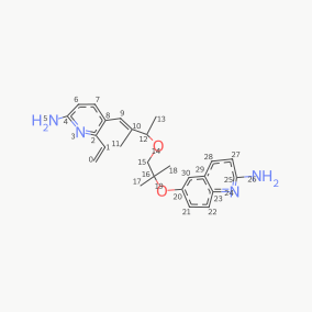 C=Cc1nc(N)ccc1/C=C(\C)C(C)OCC(C)(C)Oc1ccc2nc(N)ccc2c1